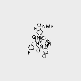 CNC(=O)c1ccc(NC(=O)C(Cc2ccc(F)cc2)N2CC(=O)N(c3cc(Cl)ccc3-n3cc(Cl)nn3)CC2=O)cc1F